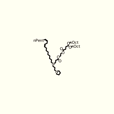 CCCCC/C=C\C/C=C\CCCCCCCCN(CCCN1CCCC1)CCC(=O)OCCOC(=O)CCC(OCCCCCCCC)OCCCCCCCC